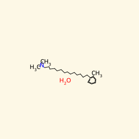 Cc1ccccc1CCCCCCCCCCCCCCN(C)C.O